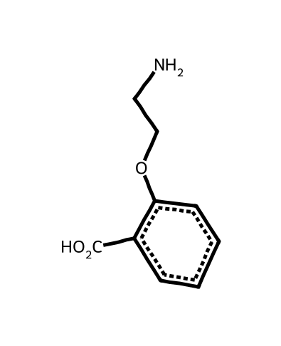 NCCOc1ccccc1C(=O)O